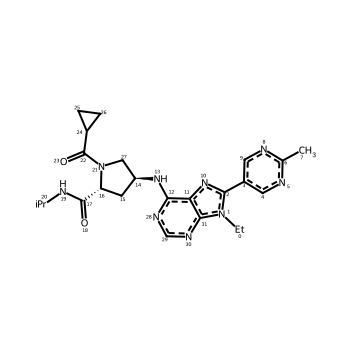 CCn1c(-c2cnc(C)nc2)nc2c(N[C@H]3C[C@H](C(=O)NC(C)C)N(C(=O)C4CC4)C3)ncnc21